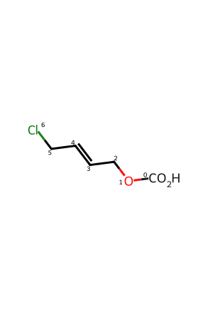 O=C(O)OCC=CCCl